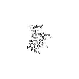 C[C@@H]1CNC[C@H]1NC(=O)OC(C)(C)C.Cc1cn2cc(NC(=O)c3cnc(N4C[C@@H](C)[C@H](NC5CC5)C4)cn3)cc(F)c2n1